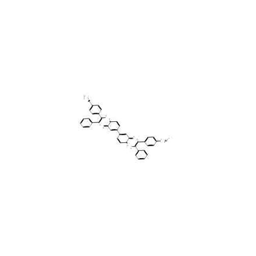 [C-]#[N+]c1ccc(-c2nc3cc(-c4ccc5nc(-c6ccc(C#N)cc6)c(-c6ccccc6)nc5c4)ccc3nc2-c2ccccc2)cc1